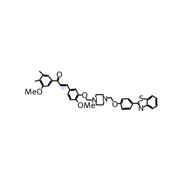 COc1ccc(/C=C/C(=O)c2cc(C)c(C)c(OC)c2)cc1OCN1CCN(COc2ccc(-c3nc4ccccc4s3)cc2)CC1